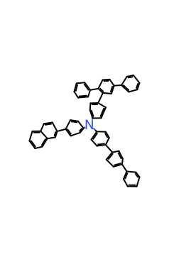 c1ccc(-c2ccc(-c3ccc(N(c4ccc(-c5ccc6ccccc6c5)cc4)c4ccc(-c5cc(-c6ccccc6)ccc5-c5ccccc5)cc4)cc3)cc2)cc1